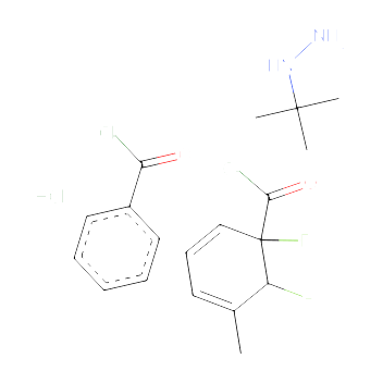 CC(C)(C)NN.CC1=CC=CC(F)(C(=O)Cl)C1F.Cl.O=C(Cl)c1ccccc1